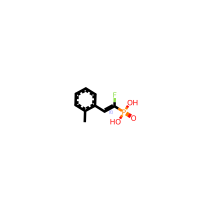 Cc1ccccc1/C=C(\F)P(=O)(O)O